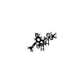 CC(C)(C)OC(=O)NCc1n[nH]c(=O)c2c(C#CC3CC3)cc(Br)cc12